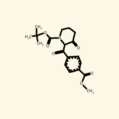 COC(=O)c1ccc(C(=O)C2C(=O)CCCN2C(=O)OC(C)(C)C)cc1